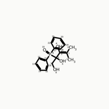 CC(C)=C(O)C(O)(CO)P(=O)(c1ccccc1)c1ccccc1